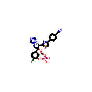 CC(c1nc(-c2ccc(C#N)cc2)cs1)C(Cn1cncn1)(OCOP(=O)(O)O)c1ccc(F)cc1F